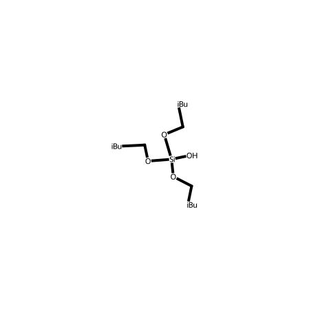 CCC(C)CO[Si](O)(OCC(C)CC)OCC(C)CC